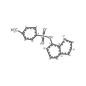 Cc1ccc(S(=O)(=O)Oc2cccc3cccnc23)cc1